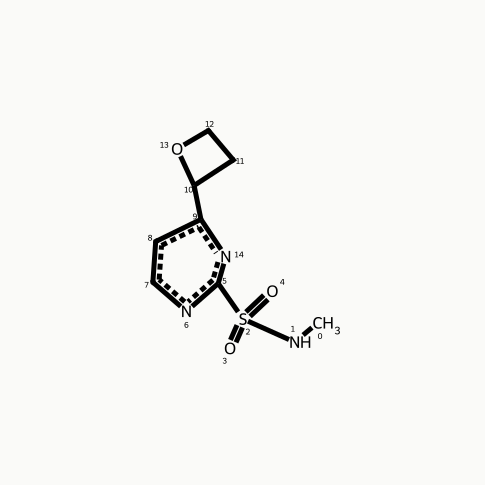 CNS(=O)(=O)c1nccc(C2CCO2)n1